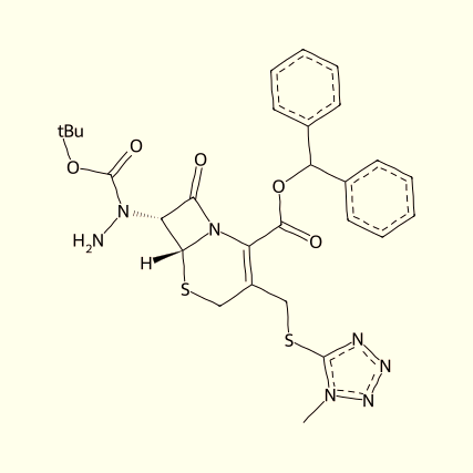 Cn1nnnc1SCC1=C(C(=O)OC(c2ccccc2)c2ccccc2)N2C(=O)[C@@H](N(N)C(=O)OC(C)(C)C)[C@H]2SC1